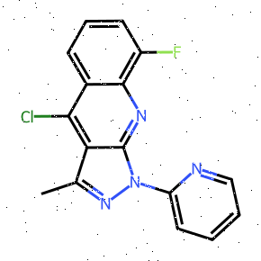 Cc1nn(-c2ccccn2)c2nc3c(F)cccc3c(Cl)c12